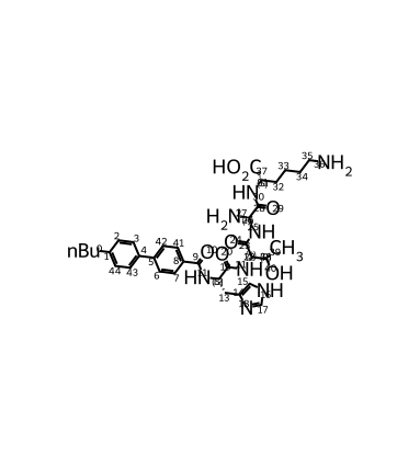 CCCCc1ccc(-c2ccc(C(=O)N[C@@H](Cc3c[nH]cn3)C(=O)N[C@H](C(=O)N[C@@H](N)C(=O)N[C@@H](CCCCN)C(=O)O)[C@@H](C)O)cc2)cc1